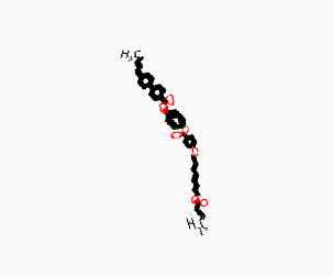 CCCCCC1CCC(C2CCC(C(=O)Oc3ccc(OC(=O)c4ccc(OCCCCCCCCOC(=O)CCC)cc4)cc3)CC2)CC1